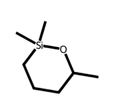 CC1CCC[Si](C)(C)O1